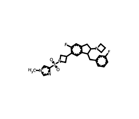 Cn1cnc(S(=O)(=O)N2CC(c3cc4c(cc3F)CC(N3CCC3)C4Cc3cccc(F)c3)C2)c1